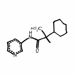 CC(C(=O)O)(C(=O)Nc1cccnc1)C1CCCCC1